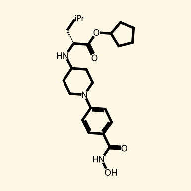 CC(C)C[C@@H](NC1CCN(c2ccc(C(=O)NO)cc2)CC1)C(=O)OC1CCCC1